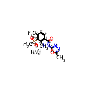 Cc1nnc(NC(=O)c2ccc(C(F)(F)F)c(S(C)(=O)=O)c2C)o1.[NaH]